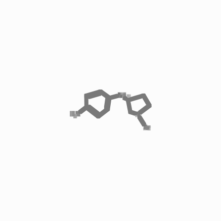 CC(=O)N1CC[C@H](Nc2ccc(N)cc2)C1